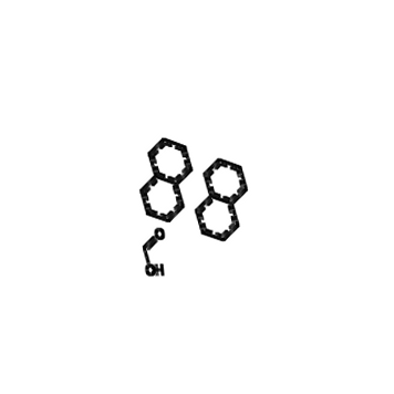 O=CO.c1ccc2ccccc2c1.c1ccc2ccccc2c1